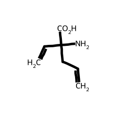 C=CCC(N)(C=C)C(=O)O